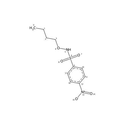 CCCCONS(=O)(=O)c1ccc([N+](=O)[O-])cc1